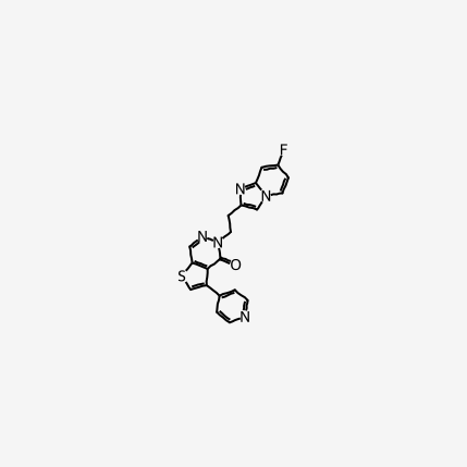 O=c1c2c(-c3ccncc3)csc2cnn1CCc1cn2ccc(F)cc2n1